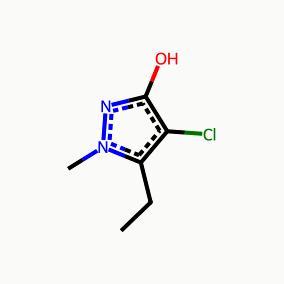 CCc1c(Cl)c(O)nn1C